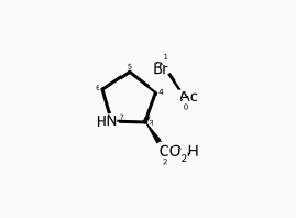 CC(=O)Br.O=C(O)[C@@H]1CCCN1